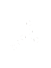 C=C(/C=C(/C(C)c1ccc(Cl)cc1)N(N)Cc1ccc(C(=O)NC(N=N)NN)cc1)c1ccc(OC(F)(F)F)cc1